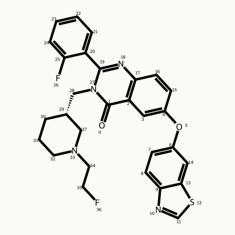 O=c1c2cc(Oc3ccc4ncsc4c3)ccc2nc(-c2ccccc2F)n1C[C@H]1CCCN(CCF)C1